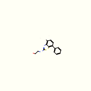 COc1ccc(-c2ccccc2)c2sc(NCCO)nc12.Cl